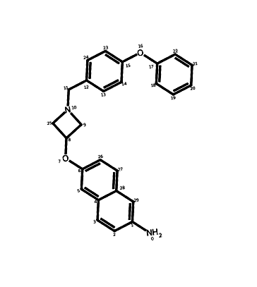 Nc1ccc2cc(OC3CN(Cc4ccc(Oc5ccccc5)cc4)C3)ccc2c1